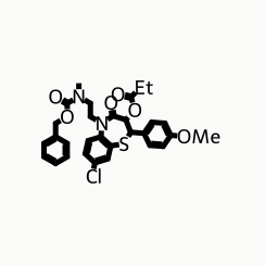 CCC(=O)OC1C(=O)N(CCN(C)C(=O)OCc2ccccc2)c2ccc(Cl)cc2SC1c1ccc(OC)cc1